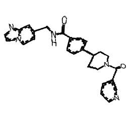 O=C(NCc1ccn2ccnc2c1)c1ccc(C2CCN(C(=O)c3cccnc3)CC2)cc1